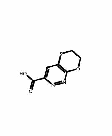 O=C(O)c1cc2c(nn1)OCCS2